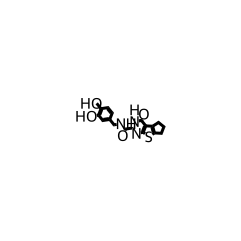 O=C(NCc1ccc(O)c(O)c1)c1nc2sc3c(c2c(=O)[nH]1)CCC3